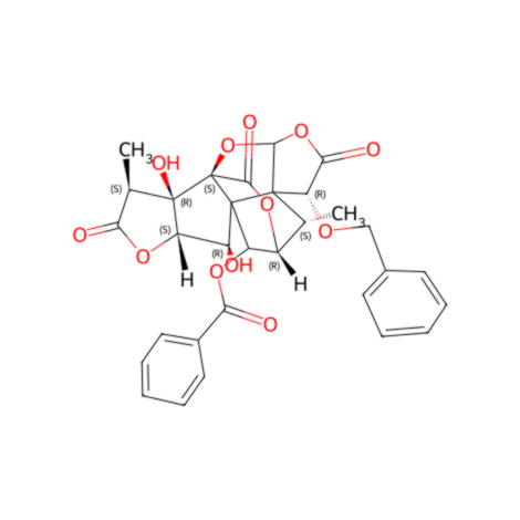 C[C@@H]1[C@H]2OC(=O)[C@]34OC5OC(=O)[C@H](OCc6ccccc6)C51C3(C2OC(=O)c1ccccc1)[C@@H](O)[C@@H]1OC(=O)[C@@H](C)[C@@]14O